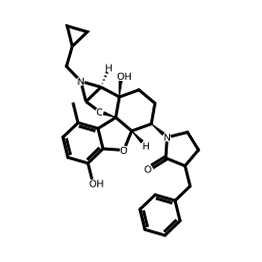 Cc1ccc(O)c2c1[C@]13CC4[C@@H](N4CC4CC4)[C@]1(O)CC[C@@H](N1CCC(Cc4ccccc4)C1=O)[C@@H]3O2